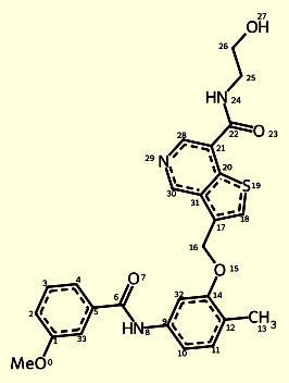 COc1cccc(C(=O)Nc2ccc(C)c(OCc3csc4c(C(=O)NCCO)cncc34)c2)c1